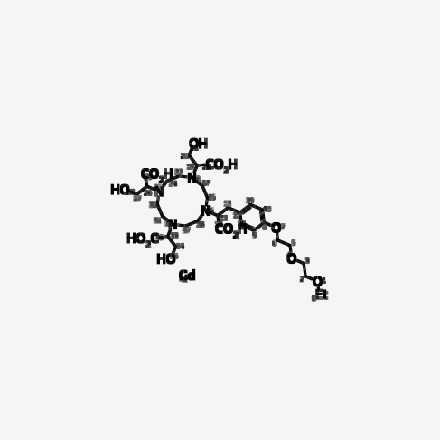 CCOCCOCCOc1ccc(CC(C(=O)O)N2CCN(C(CO)C(=O)O)CCN(C(CO)C(=O)O)CCN(C(CO)C(=O)O)CC2)cc1.[Gd]